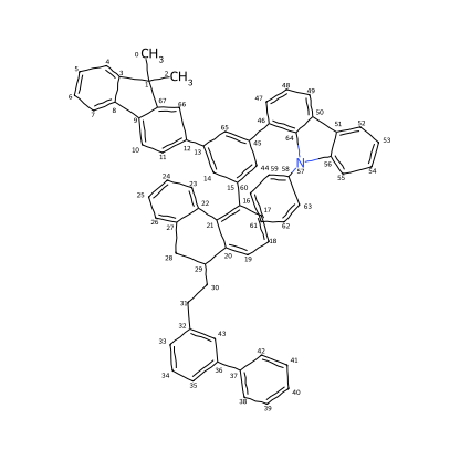 CC1(C)c2ccccc2-c2ccc(-c3cc(-c4cccc5c4-c4ccccc4CC5CCc4cccc(-c5ccccc5)c4)cc(-c4cccc5c6ccccc6n(-c6ccccc6)c45)c3)cc21